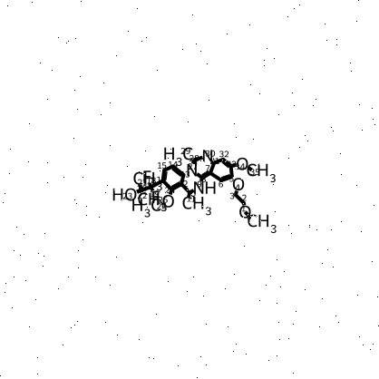 COCCOc1cc2c(NC(C)c3cccc(C(F)(F)C(C)(C)O)c3OC)nc(C)nc2cc1OC